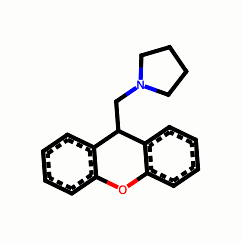 c1ccc2c(c1)Oc1ccccc1C2CN1CCCC1